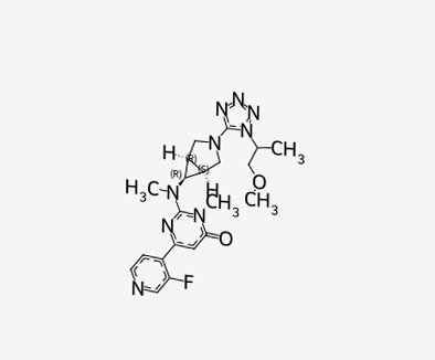 COCC(C)n1nnnc1N1C[C@@H]2[C@H](C1)[C@@H]2N(C)c1nc(-c2ccncc2F)cc(=O)n1C